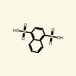 O=S(=O)(O)c1[c]cc(S(=O)(=O)O)c2ccccc12